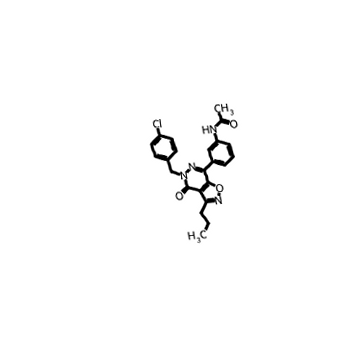 CCCc1noc2c(-c3cccc(NC(C)=O)c3)nn(Cc3ccc(Cl)cc3)c(=O)c12